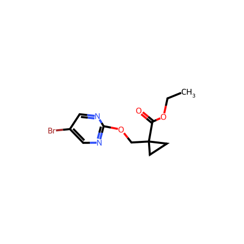 CCOC(=O)C1(COc2ncc(Br)cn2)CC1